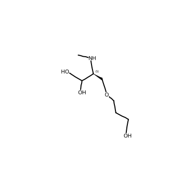 CN[C@@H](COCCCO)C(O)O